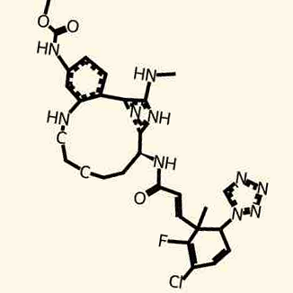 CNc1[nH]c2nc1-c1ccc(NC(=O)OC)cc1NCCCCC[C@@H]2NC(=O)/C=C/C1(C)C(F)=C(Cl)C=CC1n1cnnn1